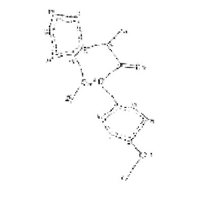 COc1ccc(OC(=O)C(C)c2ccccc2OC)cc1